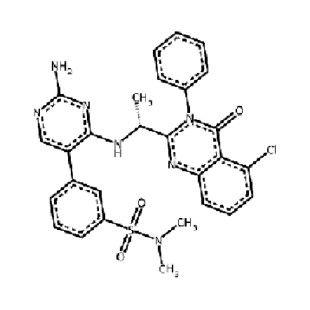 C[C@@H](Nc1nc(N)ncc1-c1cccc(S(=O)(=O)N(C)C)c1)c1nc2cccc(Cl)c2c(=O)n1-c1ccccc1